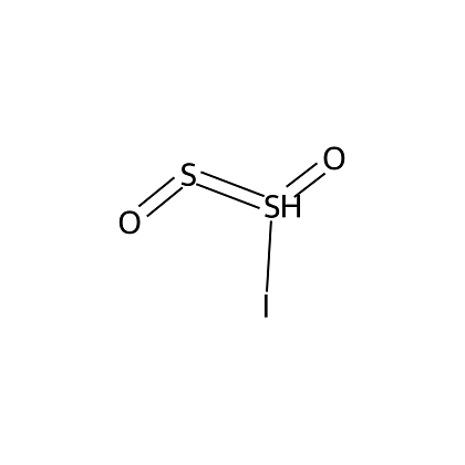 O=S=[SH](=O)I